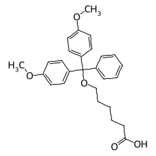 COc1ccc(C(OCCCCCC(=O)O)(c2ccccc2)c2ccc(OC)cc2)cc1